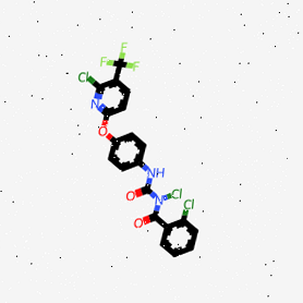 O=C(Nc1ccc(Oc2ccc(C(F)(F)F)c(Cl)n2)cc1)N(Cl)C(=O)c1ccccc1Cl